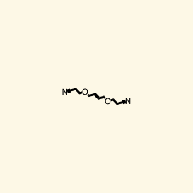 N#CCCOC/C=C/COCCC#N